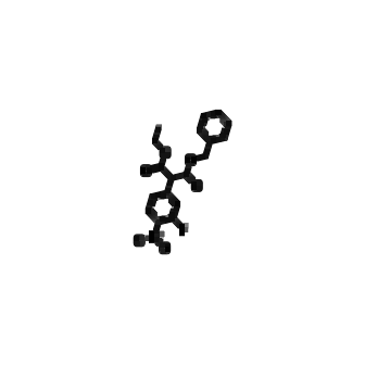 CCOC(=O)C(C(=O)OCc1ccccc1)c1ccc([N+](=O)[O-])c(F)c1